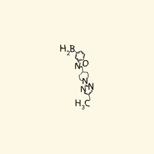 Bc1ccc2oc(C3CCN(c4ncc(CC)cn4)CC3)nc2c1